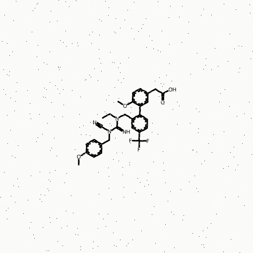 CCN(Cc1cc(C(F)(F)F)ccc1-c1cc(CC(=O)O)ccc1OC)C(=N)N(C#N)Cc1ccc(OC)cc1